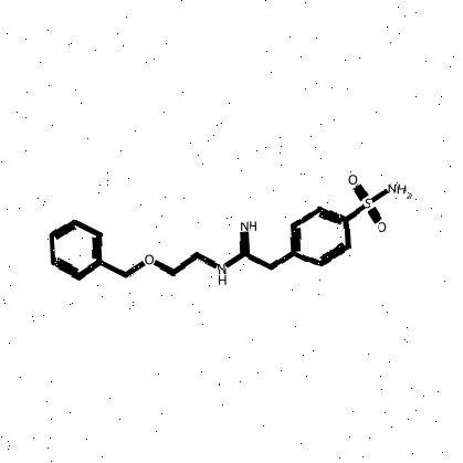 N=C(Cc1ccc(S(N)(=O)=O)cc1)NCCOCc1ccccc1